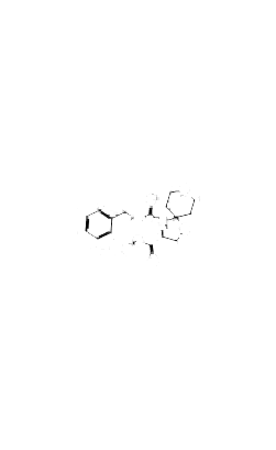 COC(=O)[C@@H]1COC2(CCOCC2)N1C(=O)OCc1ccccc1